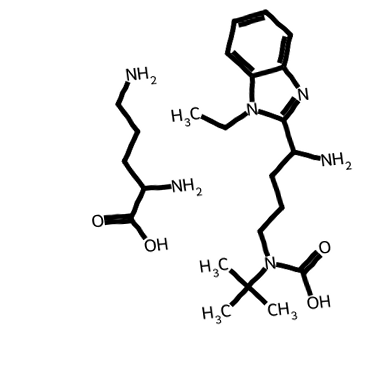 CCn1c(C(N)CCCN(C(=O)O)C(C)(C)C)nc2ccccc21.NCCCC(N)C(=O)O